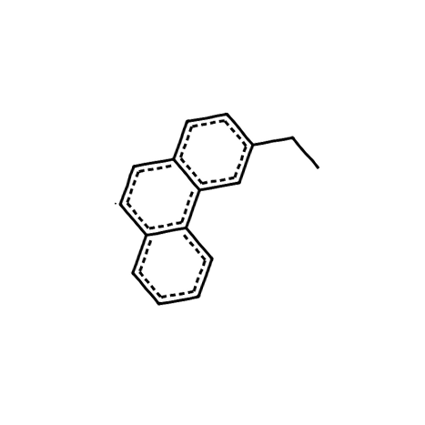 CCc1ccc2c[c]c3ccccc3c2c1